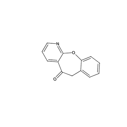 O=C1Cc2ccccc2Oc2ncccc21